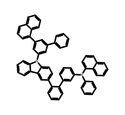 c1ccc(-c2cc(-c3cccc4ccccc34)cc(-n3c4ccccc4c4cc(-c5ccccc5-c5cccc(N(c6ccccc6)c6cccc7ccccc67)c5)ccc43)c2)cc1